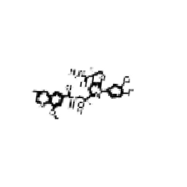 COc1cc(C(=O)NC[C@](C)(O)c2cc3c(c(-c4ccc(F)c(Cl)c4)n2)OC[C@]3(C)C(N)=O)cc2cc(C)cnc12